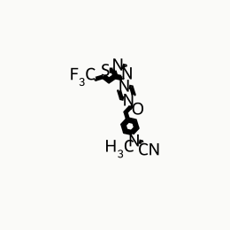 CN(CC#N)c1ccc(CC(=O)N2CCN(c3ncnc4sc(CC(F)(F)F)cc34)CC2)cc1